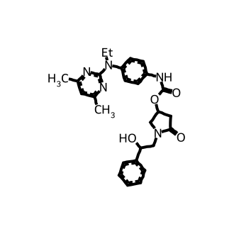 CCN(c1ccc(NC(=O)OC2CC(=O)N(CC(O)c3ccccc3)C2)cc1)c1nc(C)cc(C)n1